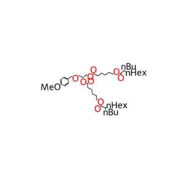 CCCCCCC(CCCC)C(=O)OCCCCCC(=O)OC[C@H](COCc1ccc(OC)cc1)OC(=O)CCCCCOC(=O)C(CCCC)CCCCCC